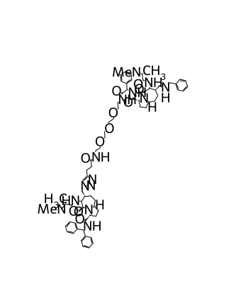 CN[C@@H](C)C(=O)N[C@@H]1C(=O)N2[C@@H](CC[C@@H]1Cn1cc(CCC(=O)NCCOCCOCCOCCNC(=O)[C@@H](NC(=O)[C@@H]3CC[C@@H]4CC[C@H](CNCc5ccccc5)[C@H](NC(=O)[C@H](C)NC)C(=O)N43)c3ccccc3)nn1)CC[C@H]2C(=O)NC(c1ccccc1)c1ccccc1